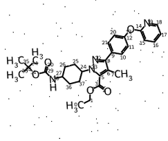 CCOC(=O)c1c(C)c(-c2ccc(Oc3ccccn3)cc2)nn1C1CCC(NC(=O)OC(C)(C)C)CC1